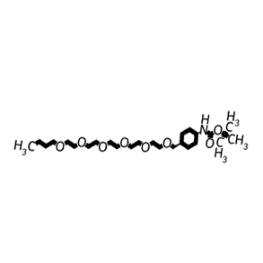 CCCCOCCOCCOCCOCCOCCOC[C@H]1CC[C@H](NC(=O)OC(C)(C)C)CC1